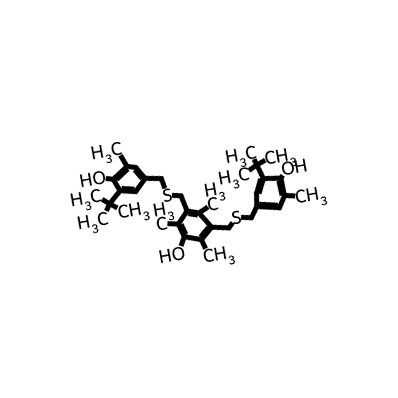 Cc1cc(CSCc2c(C)c(O)c(C)c(CSCc3cc(C)c(O)c(C(C)(C)C)c3)c2C)cc(C(C)(C)C)c1O